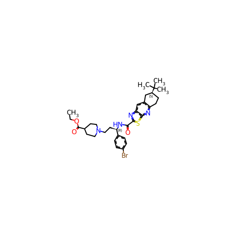 CCOC(=O)C1CCN(CC[C@@H](NC(=O)c2nc3cc4c(nc3s2)CC[C@H](C(C)(C)C)C4)c2ccc(Br)cc2)CC1